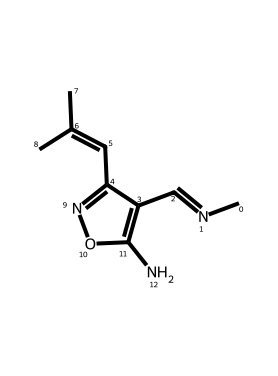 C/N=C/c1c(C=C(C)C)noc1N